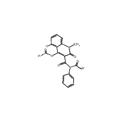 CC(C)C(=O)Oc1c(C(=O)N(C(=O)C(C)C)c2ccccc2)c(=O)n(C)c2cccc(Cl)c12